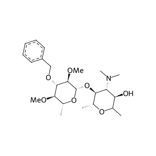 CO[C@H]1[C@H](O[C@H]2[C@H](N(C)C)[C@@H](O)C(C)O[C@@H]2C)O[C@H](C)[C@@H](OC)[C@@H]1OCc1ccccc1